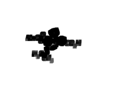 COC(=O)Oc1ccc2c(c1)N(CCN(C)C)CCn1c-2c(C2CCCCC2)c2ccc(C(=O)O)cc21